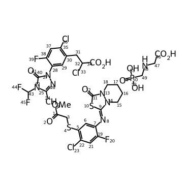 COC(=O)CSc1cc(/N=c2\sc(=O)n3n2CCCC3)c(F)cc1Cl.Cc1nn(-c2cc(CC(Cl)C(=O)O)c(Cl)cc2F)c(=O)n1C(F)F.O=C(O)CNCP(=O)(O)O